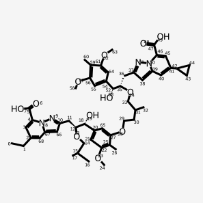 CCc1cc(C(=O)O)n2nc(C[C@H](OCC(C)C)[C@H](O)c3cc(OC)c(C)c(OCCC(C)CO[C@@H](Cc4cc5cc(C6CC6)cc(C(=O)O)n5n4)[C@H](O)c4cc(OC)c(C)c(OC)c4)c3)cc2c1